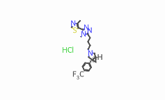 Cc1ncsc1-c1nnc(CCCCN2C[C@@H]3C[C@]3(c3ccc(C(F)(F)F)cc3)C2)n1C.Cl